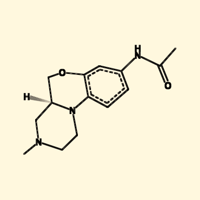 CC(=O)Nc1ccc2c(c1)OC[C@@H]1CN(C)CCN21